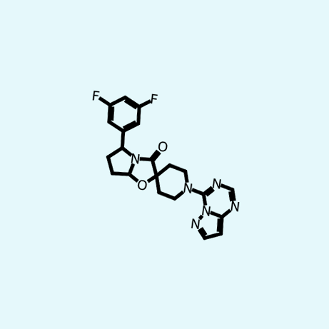 O=C1N2C(CCC2c2cc(F)cc(F)c2)OC12CCN(c1ncnc3ccnn13)CC2